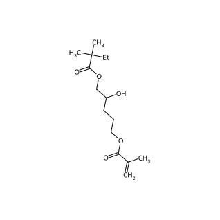 C=C(C)C(=O)OCCCC(O)COC(=O)C(C)(C)CC